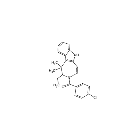 CCC1N(C(=O)c2ccc(Cl)cc2)C=Cc2[nH]c3ccccc3c2C1(C)C